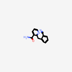 N#Cc1ccccc1Cc1ncccc1C(N)=O